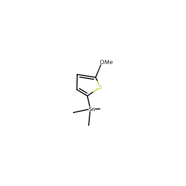 COc1cc[c]([Sn]([CH3])([CH3])[CH3])s1